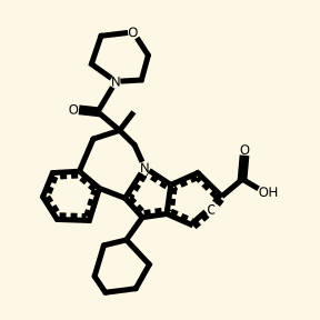 CC1(C(=O)N2CCOCC2)Cc2ccccc2-c2c(C3CCCCC3)c3ccc(C(=O)O)cc3n2C1